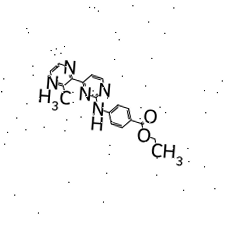 CCOC(=O)c1ccc(Nc2nccc(-c3nccnc3C)n2)cc1